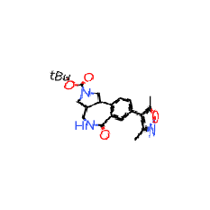 Cc1noc(C)c1-c1ccc2c(c1)C(=O)NCC1CN(C(=O)OC(C)(C)C)CC21